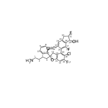 NCCCCC1(c2ccccc2)Cc2c(cc(F)c(Cl)c2-c2c(C=O)cc3c(c2F)C(O)C(F)C3)O1